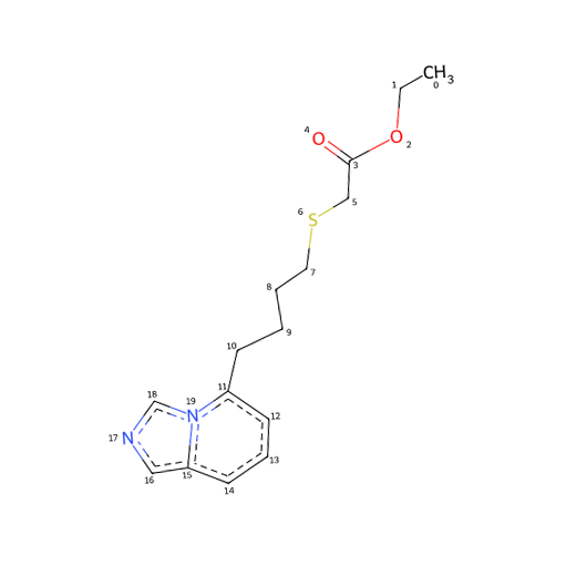 CCOC(=O)CSCCCCc1cccc2cncn12